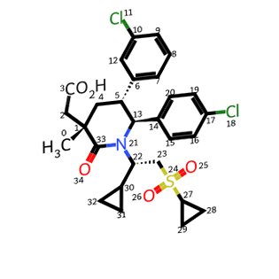 C[C@@]1(CC(=O)O)C[C@H](c2cccc(Cl)c2)[C@@H](c2ccc(Cl)cc2)N([C@H](CS(=O)(=O)C2CC2)C2CC2)C1=O